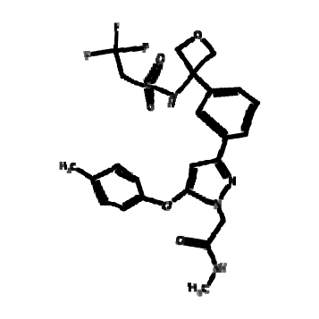 CNC(=O)Cn1nc(-c2cccc(C3(NS(=O)(=O)CC(F)(F)F)COC3)c2)cc1Oc1ccc(C)cc1